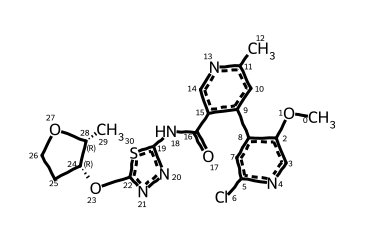 COc1cnc(Cl)cc1-c1cc(C)ncc1C(=O)Nc1nnc(O[C@@H]2CCO[C@@H]2C)s1